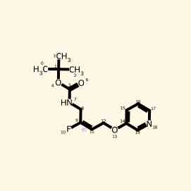 CC(C)(C)OC(=O)NC/C(F)=C\COc1cccnc1